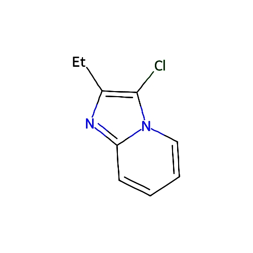 CCc1nc2ccccn2c1Cl